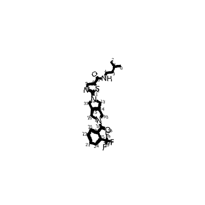 CC(C)CCNC(=O)c1cnc(N2CC3=C(CN(C(=O)c4ccccc4C(F)(F)F)C3)C2)s1